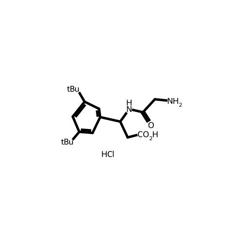 CC(C)(C)c1cc(C(CC(=O)O)NC(=O)CN)cc(C(C)(C)C)c1.Cl